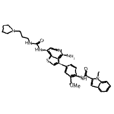 COc1cc(-c2csc3c(NC(=O)NCCCN4CCCC4)cnc(N)c23)ccc1NC(=O)c1cc2ccccc2n1C